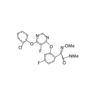 CNC(=O)C(=NOC)c1ccc(F)cc1Oc1ncnc(Oc2ccccc2Cl)c1F